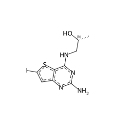 C[C@@H](O)CNc1nc(N)nc2cc(I)sc12